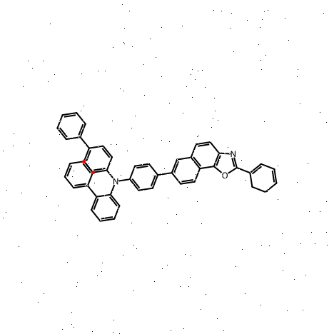 C1=CCCC(c2nc3ccc4cc(-c5ccc(N(c6ccc(-c7ccccc7)cc6)c6ccccc6-c6ccccc6)cc5)ccc4c3o2)=C1